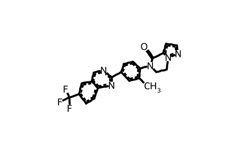 Cc1cc(-c2ncc3cc(C(F)(F)F)ccc3n2)ccc1N1CCn2nccc2C1=O